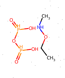 CCONC.O=[PH](O)O[PH](=O)O